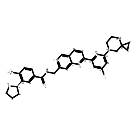 Cc1ccc(C(=O)NCc2cc3nc(-c4cc(F)cc(N5CCNC6(CC6)C5)n4)ccc3cn2)cc1[C@H]1CCCO1